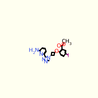 COC(=O)c1cc(I)ccc1O[C@H]1C[C@@H](n2cnnc2-c2cccc(N)n2)C1